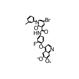 COc1cc2nccc(Oc3ccc(NC(=O)c4cc(Br)cn(-c5cccc(C)c5)c4=O)cc3F)c2cc1OC